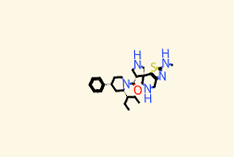 CCC(CC)[C@@H]1C[C@H](c2ccccc2)CCN1C(=O)[C@@H]1CNC[C@]12CNCc1nc(NC)sc12